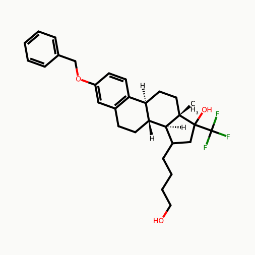 C[C@]12CC[C@@H]3c4ccc(OCc5ccccc5)cc4CC[C@H]3[C@@H]1C(CCCCO)CC2(O)C(F)(F)F